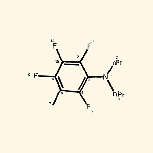 CCCN(CCC)c1c(F)c(C)c(F)c(F)c1F